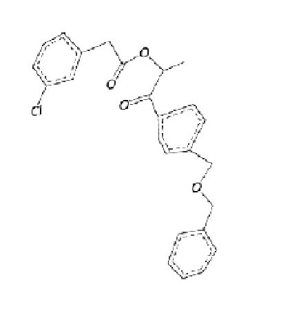 CC(OC(=O)Cc1cccc(Cl)c1)C(=O)c1ccc(COCc2ccccc2)cc1